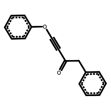 O=C(C#COc1ccccc1)Cc1ccccc1